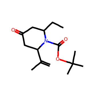 C=C(C)C1CC(=O)CC(CC)N1C(=O)OC(C)(C)C